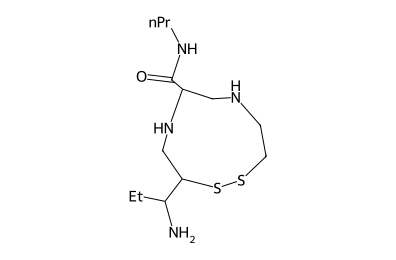 CCCNC(=O)C1CNCCSSC(C(N)CC)CN1